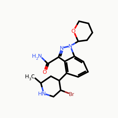 CC1CC(c2cccc3c2c(C(N)=O)nn3C2CCCCO2)C(Br)CN1